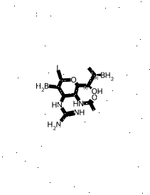 BC1C(I)OC([C@H](O)[C@H](B)C)C(NC(C)=O)C1NC(=N)N